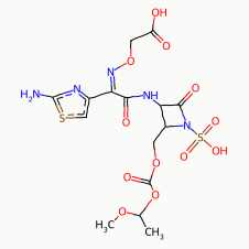 COC(C)OC(=O)OCC1C(NC(=O)C(=NOCC(=O)O)c2csc(N)n2)C(=O)N1S(=O)(=O)O